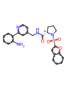 Nc1ccccc1-c1cc(CNC(=O)[C@@H]2CCCN2S(=O)(=O)c2cc3ccccc3o2)ccn1